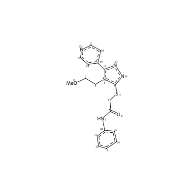 COCCn1c(SCC(=O)Nc2ccccc2)nnc1-c1ccncc1